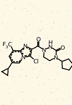 O=C(c1nc2c(C(F)(F)F)cc(C3CC3)cn2c1Cl)N1CCN(C2CCCC2)C(=O)N1